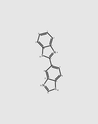 [c]1ccc2nc(-c3ccc4scnc4c3)sc2c1